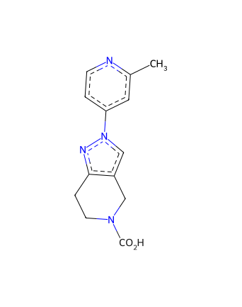 Cc1cc(-n2cc3c(n2)CCN(C(=O)O)C3)ccn1